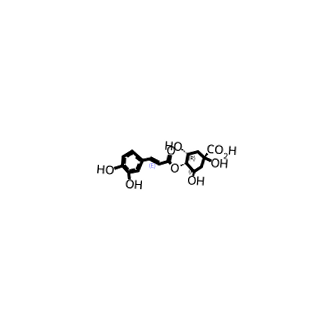 O=C(/C=C/c1ccc(O)c(O)c1)O[C@H]1[C@H](O)C[C@](O)(C(=O)O)C[C@H]1O